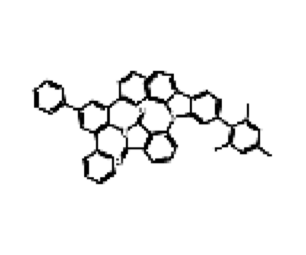 Cc1cc(C)c(-c2ccc3c4ccccc4n(-c4cccc5c4C(=O)N(c4c(-c6ccccc6)cc(-c6ccccc6)cc4-c4ccccc4)C5=O)c3c2)c(C)c1